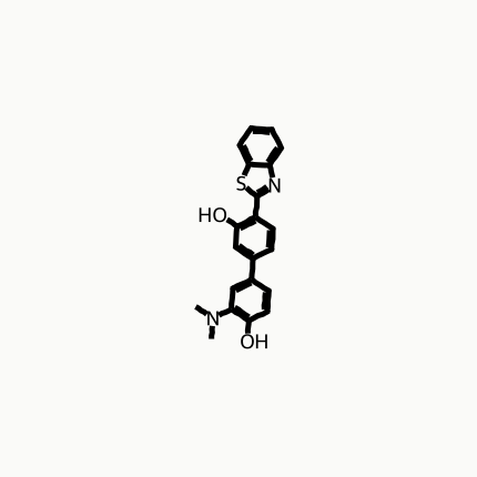 CN(C)c1cc(-c2ccc(-c3nc4ccccc4s3)c(O)c2)ccc1O